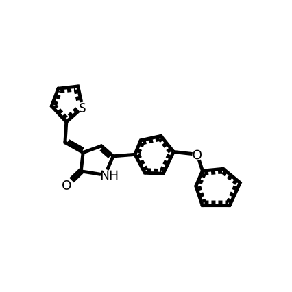 O=C1NC(c2ccc(Oc3ccccc3)cc2)=CC1=Cc1cccs1